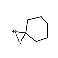 C1CCC2(CC1)[N][N]2